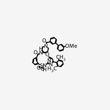 COc1cccc(-c2cccc(C(=O)N3CCC4(CC3)NC(=O)c3cccc(c3)S(=O)(=O)Nc3nc(cc(-c5c(C)cccc5C)n3)O4)c2)c1